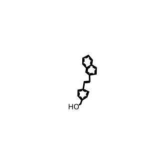 OCc1ccc(C=Cc2ccc3ccccc3c2)cc1